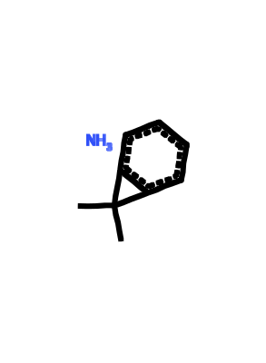 CC1(C)c2ccccc21.N